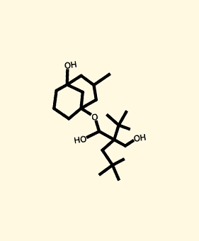 CC1CC2(O)CCCC(OC(O)C(CO)(CC(C)(C)C)C(C)(C)C)(C1)C2